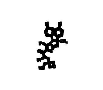 CC(C)C1=C(C(=O)N(CC2(CO)COC2)C(C)C)SC2=N[C@@](C)(c3ccc(Cl)cc3)[C@@H](c3ccc(Cl)cc3)N21